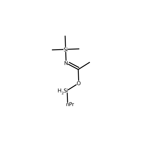 CCC[SiH2]OC(C)=N[Si](C)(C)C